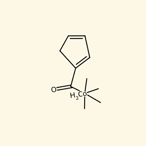 [CH3][CoH2]([CH3])([CH3])([CH3])[C](=O)C1=CC=CC1